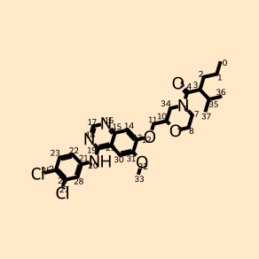 CCCC(C(=O)N1CCOC(COc2cc3ncnc(Nc4ccc(Cl)c(Cl)c4)c3cc2OC)C1)C(C)C